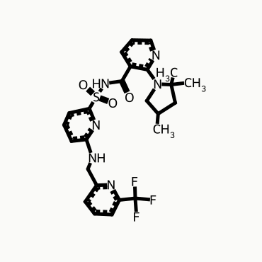 CC1CN(c2ncccc2C(=O)NS(=O)(=O)c2cccc(NCc3cccc(C(F)(F)F)n3)n2)C(C)(C)C1